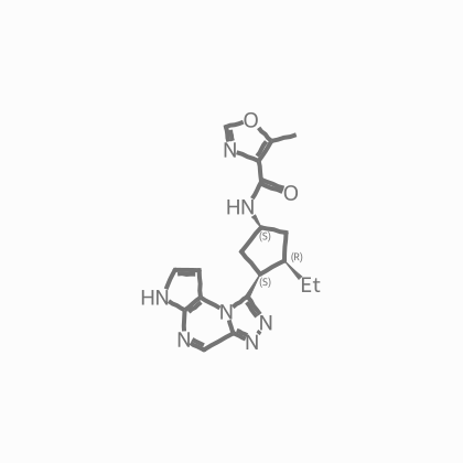 CC[C@@H]1C[C@H](NC(=O)c2ncoc2C)C[C@@H]1c1nnc2cnc3[nH]ccc3n12